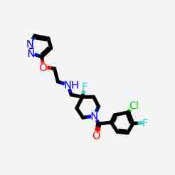 O=C(c1ccc(F)c(Cl)c1)N1CCC(F)(CNCCOc2cccnn2)CC1